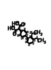 CCc1cccc(-c2ccc(C(C(=O)O)C(=O)O)cc2)c1CC